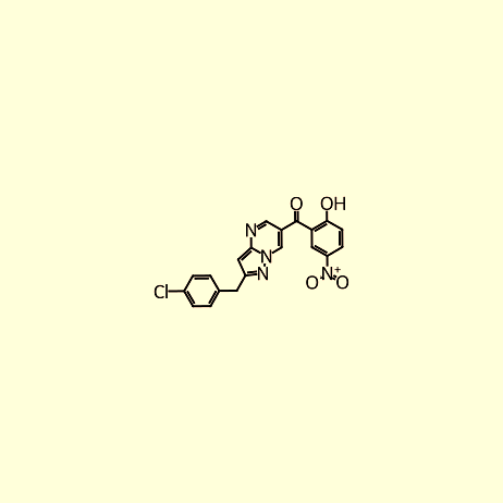 O=C(c1cnc2cc(Cc3ccc(Cl)cc3)nn2c1)c1cc([N+](=O)[O-])ccc1O